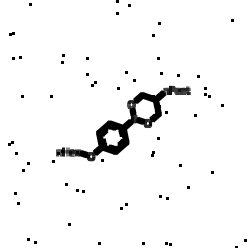 CCCCCCOc1ccc(B2OCC(CCCCC)CO2)cc1